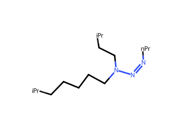 CCC/N=N\N(CCCCCC(C)C)CCC(C)C